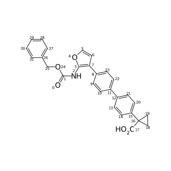 O=C(Nc1occc1-c1ccc(-c2ccc(C3(C(=O)O)CC3)cc2)cc1)OCc1ccccc1